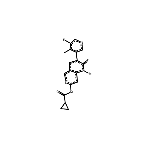 CCn1c(=O)c(-c2cncc(F)c2C)cc2cnc(NC(=O)C3CC3)cc21